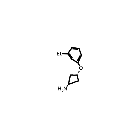 CCc1cccc(O[C@H]2C[C@@H](N)C2)c1